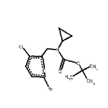 CC(C)(C)OC(=O)N(Cc1cc(Br)ccc1Cl)C1CC1